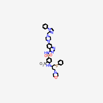 O=[N+]([O-])c1cc(S(=O)(=O)Nc2ncnc3cc(N4CCN(Cc5nccn5-c5ccccc5)CC4)ccc23)ccc1NC(CCN1CCOCC1)CSc1ccccc1